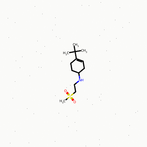 CC(C)(C)C1=CCC(NCCS(C)(=O)=O)CC1